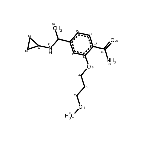 COCCCOc1cc(C(C)NC2CC2)ccc1C(N)=O